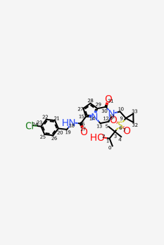 CC(O)C(C)(C)S(=O)(=O)C1(CN2CCn3c(C(=O)NCc4ccc(Cl)cc4)ccc3C2=O)CC1